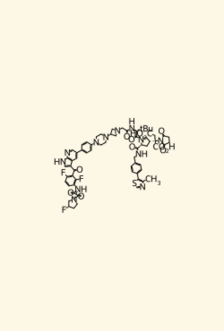 Cc1ncsc1-c1ccc(CNC(=O)[C@@H]2C[C@@H](C(CC(=O)O)(C(=O)O)N3C(=O)CCC3=O)CN2C(=O)[C@@H](NC(=O)CN2CC(N3CCN(c4ccc(-c5cnc6[nH]cc(C(=O)c7c(F)ccc(NS(=O)(=O)N8CC[C@@H](F)C8)c7F)c6c5)cc4)CC3)C2)C(C)(C)C)cc1